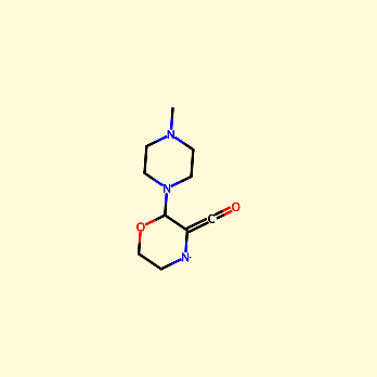 CN1CCN(C2OCC[N]C2=C=O)CC1